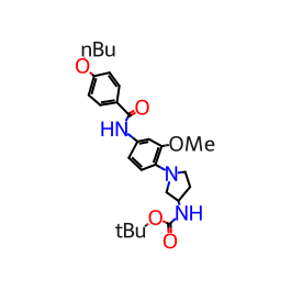 CCCCOc1ccc(C(=O)Nc2ccc(N3CCC(NC(=O)OC(C)(C)C)C3)c(OC)c2)cc1